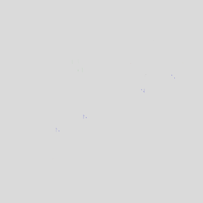 COc1ccccc1N1CCN(C/C=C\CNC(=O)c2nsc3ccccc23)CC1.Cl.Cl